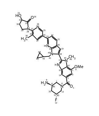 COc1cc(C(=O)N2C[C@H](N)C[C@@H](F)C2)cc2nc(-c3cc4ccc(-c5cnc(N6CCC(O)C6=O)c(C)c5)nc4n3CC3CC3)n(C)c12